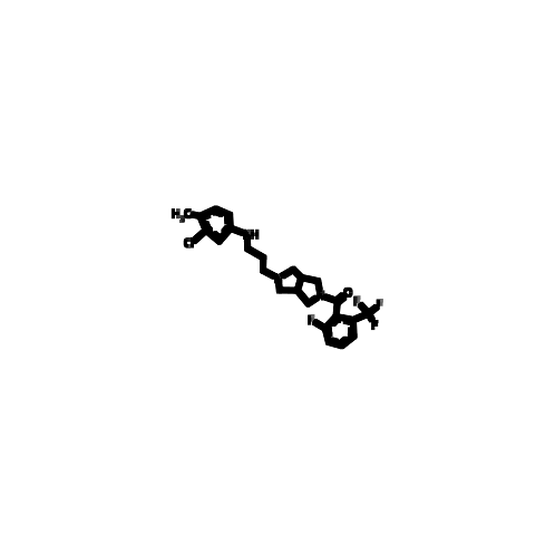 Cc1ccc(NCCCN2CC3CN(C(=O)c4c(F)cccc4C(F)(F)F)CC3C2)cc1Cl